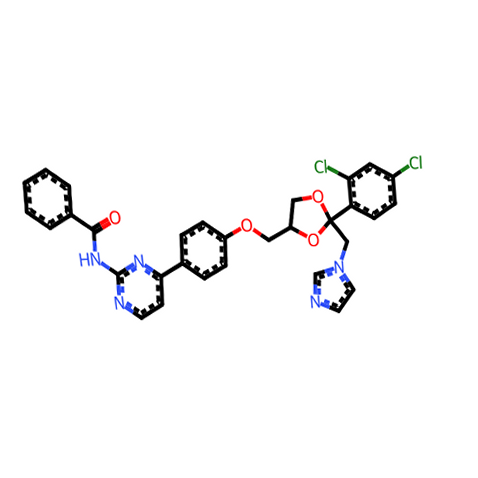 O=C(Nc1nccc(-c2ccc(OCC3COC(Cn4ccnc4)(c4ccc(Cl)cc4Cl)O3)cc2)n1)c1ccccc1